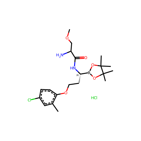 COCC(N)C(=O)N[C@@H](CCOc1ccc(Cl)cc1C)B1OC(C)(C)C(C)(C)O1.Cl